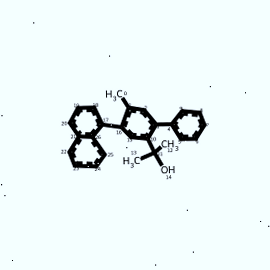 Cc1cc(-c2ccccc2)c(C(C)(C)O)cc1-c1cccc2ccccc12